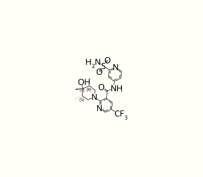 C[C@@H]1CN(c2ncc(C(F)(F)F)cc2C(=O)Nc2ccnc(S(N)(=O)=O)c2)C[C@H](C)[C@]1(C)O